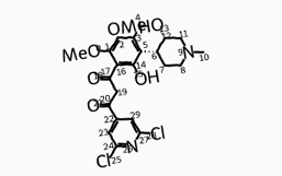 COc1cc(OC)c([C@H]2CCN(C)C[C@H]2O)c(O)c1C(=O)CC(=O)c1cc(Cl)nc(Cl)c1